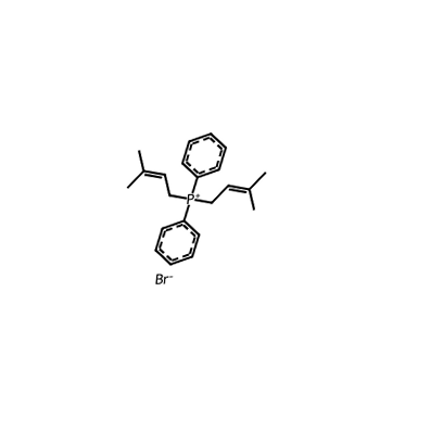 CC(C)=CC[P+](CC=C(C)C)(c1ccccc1)c1ccccc1.[Br-]